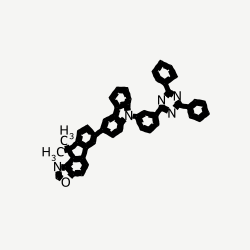 CC1(C)c2ccc(-c3ccc4c(c3)c3ccccc3n4-c3cccc(-c4nc(-c5ccccc5)nc(-c5ccccc5)n4)c3)cc2-c2ccc3ocnc3c21